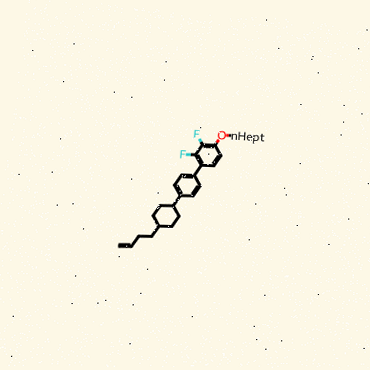 C=CCCC1CCC(c2ccc(-c3ccc(OCCCCCCC)c(F)c3F)cc2)CC1